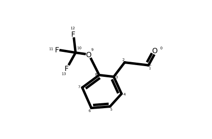 O=[C]Cc1ccccc1OC(F)(F)F